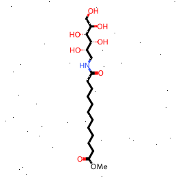 COC(=O)CCCCCCCCCCC(=O)NC[C@H](O)[C@@H](O)[C@H](O)C(O)CO